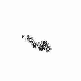 CC(Nc1ncnc(N2C(=O)OC[C@@H]2c2ccccc2)n1)c1cn(-c2ccc(C(F)(F)F)cc2)cn1